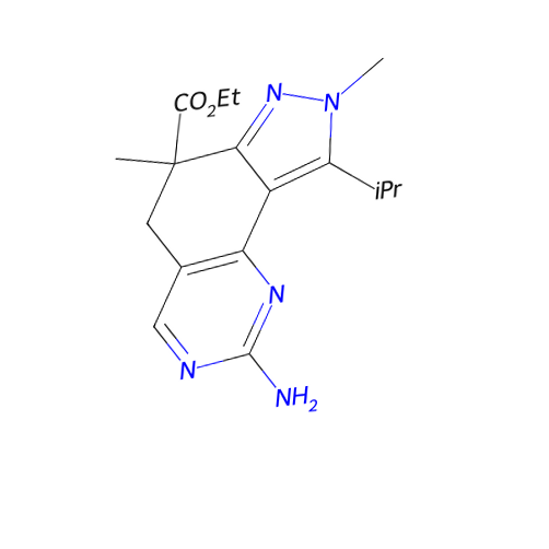 CCOC(=O)C1(C)Cc2cnc(N)nc2-c2c1nn(C)c2C(C)C